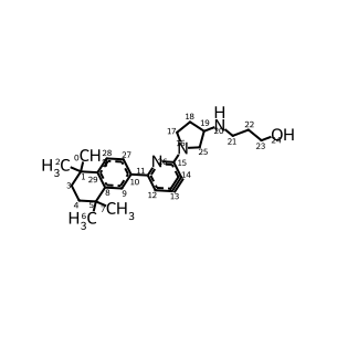 CC1(C)CCC(C)(C)c2cc(-c3cc#cc(N4CCC(NCCCO)C4)n3)ccc21